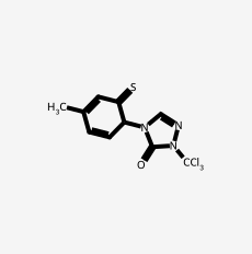 CC1=CC(=S)C(n2cnn(C(Cl)(Cl)Cl)c2=O)C=C1